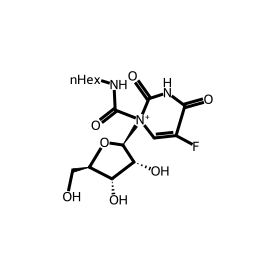 CCCCCCNC(=O)[N+]1([C@@H]2O[C@H](CO)[C@@H](O)[C@H]2O)C=C(F)C(=O)NC1=O